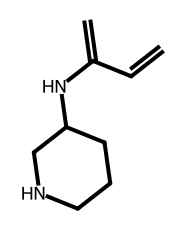 C=CC(=C)NC1CCCNC1